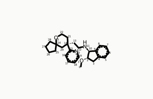 CO[C@H]1Cc2ccccc2[C@@H]1NCC[C@@]1(c2ccccn2)CCOC2(CCCC2)C1